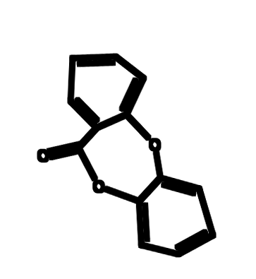 O=C1Oc2ccccc2Oc2ccccc21